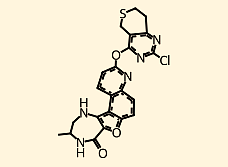 CC1CNc2c(oc3ccc4nc(Oc5nc(Cl)nc6c5CSCC6)ccc4c23)C(=O)N1